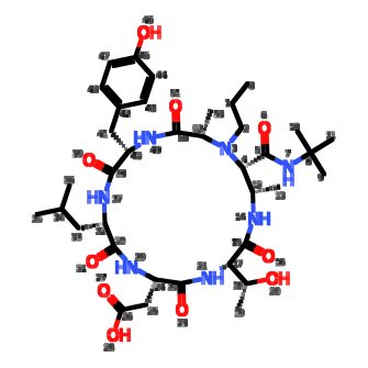 CCCN1[C@H](C(=O)NC(C)(C)C)[C@H](C)NC(=O)[C@H]([C@@H](C)O)NC(=O)[C@H](CC(=O)O)NC(=O)[C@H](CC(C)C)NC(=O)[C@H](Cc2ccc(O)cc2)NC(=O)[C@@H]1C